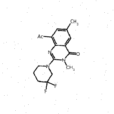 CC(=O)c1cc(C)cc2c(=O)n(C)c(N3CCCC(F)(F)C3)nc12